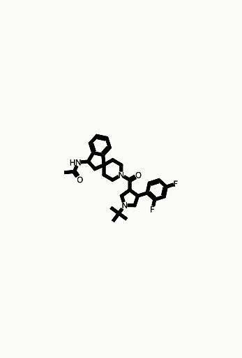 CC(=O)NC1CC2(CCN(C(=O)C3CN(C(C)(C)C)CC3c3ccc(F)cc3F)CC2)c2ccccc21